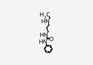 CCNCCCNC(=O)Nc1ccccc1